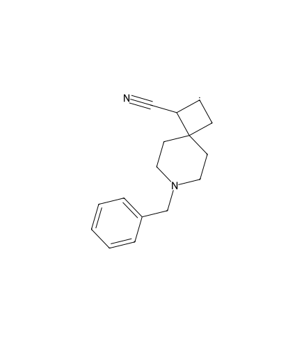 N#CC1[CH]CC12CCN(Cc1ccccc1)CC2